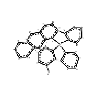 Cc1cccc([Si]2(c3ccccc3)c3ccccc3-c3ccc4cc5ccccc5cc4c32)c1